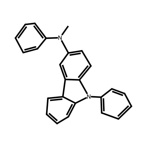 CN(c1ccccc1)c1ccc2c(c1)c1ccccc1n2-c1ccccc1